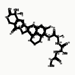 CC[C@@]1(O)C(=O)OCc2c1cc1n(c2=O)Cc2c-1nc1cc(F)c(NC(=O)[C@H](C)NC(=O)[C@@H](NC(=O)OC(C)(C)C)C(C)C)c3c1c2CCC3